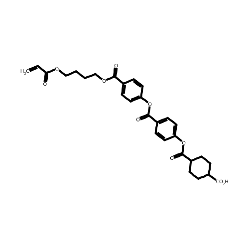 C=CC(=O)OCCCCOC(=O)c1ccc(OC(=O)c2ccc(OC(=O)C3CCC(C(=O)O)CC3)cc2)cc1